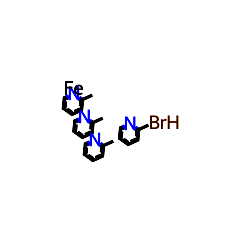 Br.Cc1ccccn1.Cc1ccccn1.Cc1ccccn1.Cc1ccccn1.[Fe]